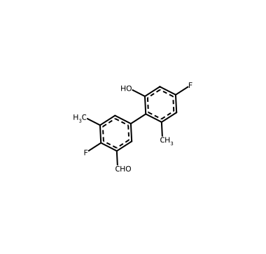 Cc1cc(-c2c(C)cc(F)cc2O)cc(C=O)c1F